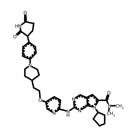 CN(C)C(=O)c1cc2cnc(Nc3ccc(OCCC4CCN(c5ccc(C6CCC(=O)NC6=O)cc5)CC4)cn3)nc2n1C1CCCC1